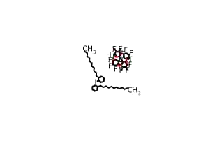 CCCCCCCCCCCCc1ccccc1[I+]c1ccccc1CCCCCCCCCCCC.Fc1c(F)c(F)c([B-](c2c(F)c(F)c(F)c(F)c2F)(c2c(F)c(F)c(F)c(F)c2F)c2c(F)c(F)c(F)c(F)c2F)c(F)c1F